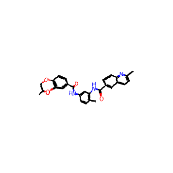 Cc1ccc2cc(C(=O)Nc3cc(NC(=O)c4ccc5c(c4)OC(C)CO5)ccc3C)ccc2n1